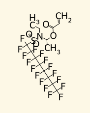 C=CC(=O)OC(C)N(CC)S(=O)(=O)C(F)(F)C(F)(F)C(F)(F)C(F)(F)C(F)(F)C(F)(F)C(F)(F)C(F)(F)F